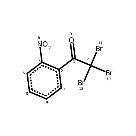 O=C(c1ccccc1[N+](=O)[O-])C(Br)(Br)Br